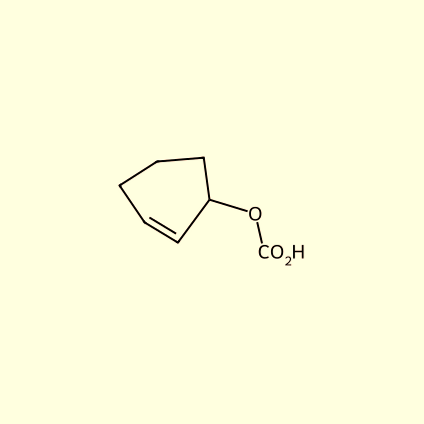 O=C(O)OC1C=CCCC1